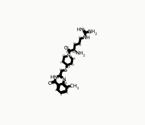 Cc1cccc2c(=O)[nH]c(CSC3CCN(C(=O)[C@H](N)CCCNC(=N)N)CC3)nc12